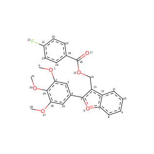 COc1cc(-c2oc3ccccc3c2COC(=O)c2ccc(F)cc2)cc(OC)c1OC